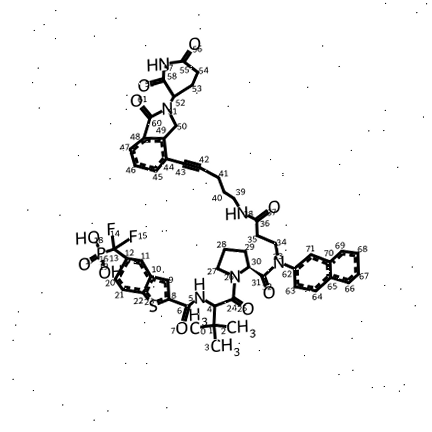 CC(C)(C)C(NC(=O)c1cc2cc(C(F)(F)P(=O)(O)O)ccc2s1)C(=O)N1CCC[C@H]1C(=O)N(CCC(=O)NCCCC#Cc1cccc2c1CN(C1CCC(=O)NC1=O)C2=O)c1ccc2ccccc2c1